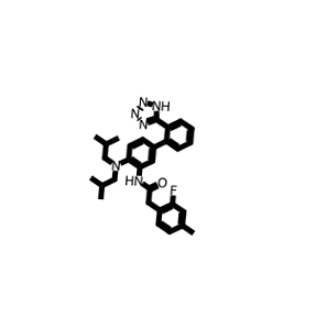 Cc1ccc(CC(=O)Nc2cc(-c3ccccc3-c3nnn[nH]3)ccc2N(CC(C)C)CC(C)C)c(F)c1